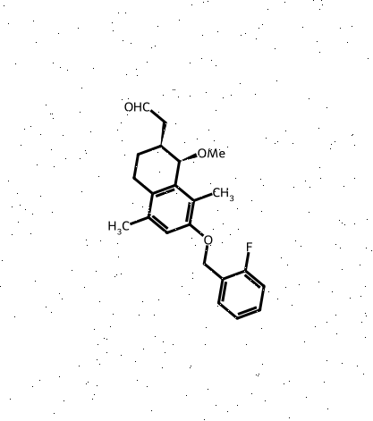 CO[C@H]1c2c(C)c(OCc3ccccc3F)cc(C)c2CC[C@H]1CC=O